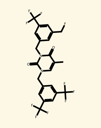 Cc1cn(Cc2cc(C(F)(F)F)cc(C(F)(F)F)c2)c(=O)n(Cc2cc(CF)cc(C(F)(F)F)c2)c1=O